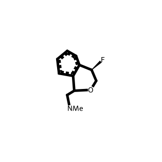 CNCC1OC[C@H](F)c2ccccc21